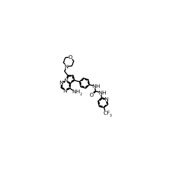 Nc1ncnn2c(CN3CCOCC3)cc(-c3ccc(NC(=O)Nc4ccc(C(F)(F)F)cn4)cc3)c12